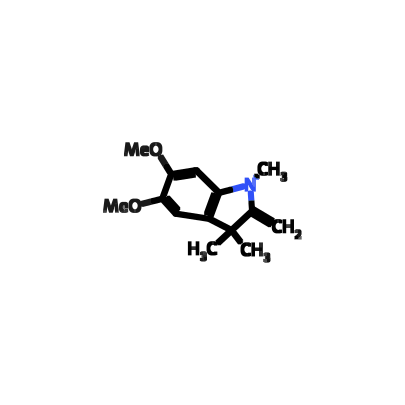 C=C1N(C)c2cc(OC)c(OC)cc2C1(C)C